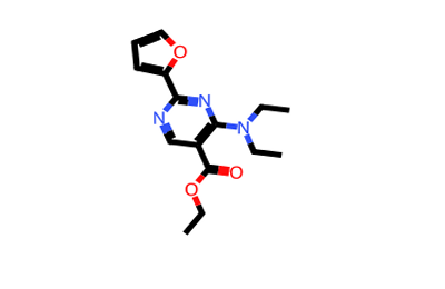 CCOC(=O)c1cnc(-c2ccco2)nc1N(CC)CC